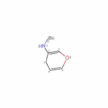 CCC(C)NC1=[C]OC=CC1